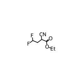 CCOC(=O)C(C#N)CC(F)F